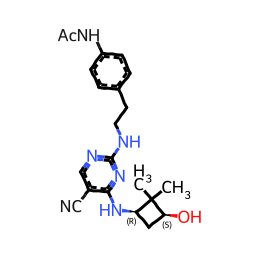 CC(=O)Nc1ccc(CCNc2ncc(C#N)c(N[C@@H]3C[C@H](O)C3(C)C)n2)cc1